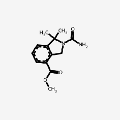 COC(=O)c1cccc2c1CN(C(N)=O)C2(C)C